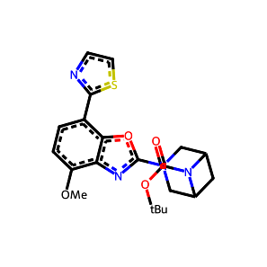 COc1ccc(-c2nccs2)c2oc(N3CC4CC(C3)N4C(=O)OC(C)(C)C)nc12